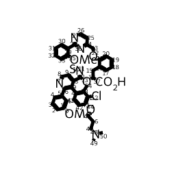 COc1cccc(-c2ncc3snc(OC(Cc4ccccc4OCc4ccnc(-c5ccccc5OC)n4)C(=O)O)c3c2-c2ccc(OCCCN(C)C)c(Cl)c2C)c1